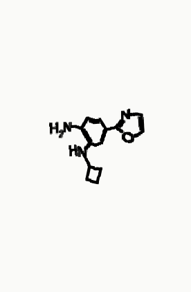 Nc1ccc(-c2ncco2)cc1NC1CCC1